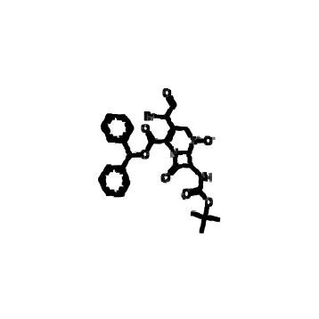 CC(C)(C)OC(=O)NC1C(=O)N2C(C(=O)OC(c3ccccc3)c3ccccc3)=C(C(Br)C=O)C[S+]([O-])C12